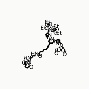 CCOP(=O)(CN(Cc1ccn(-c2cc(C#CCCCCC(=O)NCCCNC(=O)ON3C(=O)CCC3=O)cc(-n3ccc(CN(COP=O)COP=O)n3)n2)n1)CP(=O)(OCC)OCC)OCC